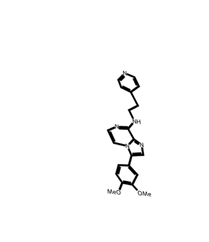 COc1ccc(-c2cnc3c(NCCc4ccncc4)nccn23)cc1OC